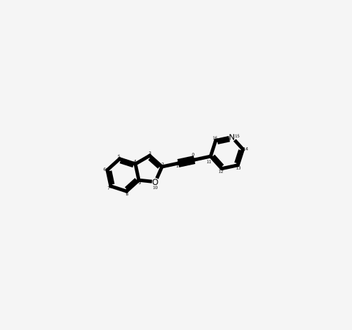 C(#Cc1cc2ccccc2o1)c1cccnc1